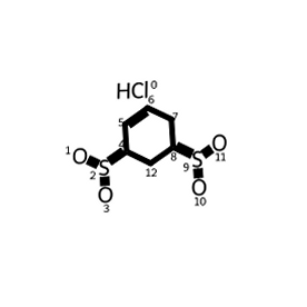 Cl.O=S(=O)=C1C=CCC(=S(=O)=O)C1